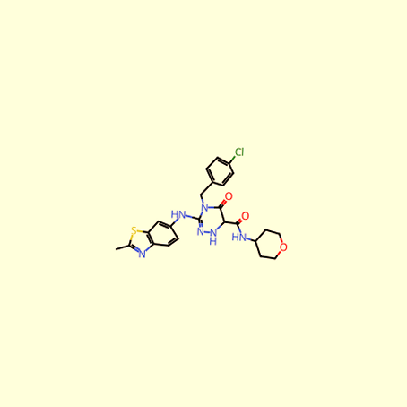 Cc1nc2ccc(NC3=NNC(C(=O)NC4CCOCC4)C(=O)N3Cc3ccc(Cl)cc3)cc2s1